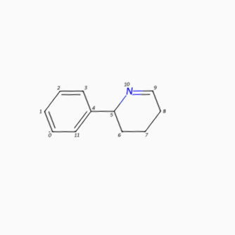 [c]1cccc(C2CCCC=N2)c1